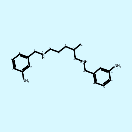 CC(CCCNCc1cccc(N)c1)CNCc1cccc(N)c1